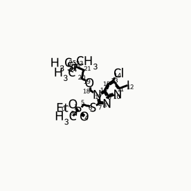 CCOP(C)(=O)CSc1nc2nc(I)c(Cl)cc2n1COCC[Si](C)(C)C